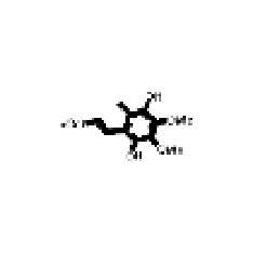 CCCCCCCCC=Cc1c(C)c(O)c(OC)c(OC)c1O